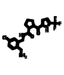 NCc1ccc(Cl)cc1CNC(=O)C1CCCN1C(=O)c1ccc(C(F)(F)F)[nH]1